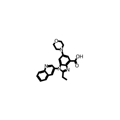 CCc1nc2c(C(=O)O)cc(N3CCOCC3)cc2n1-c1cnc2ccccc2c1